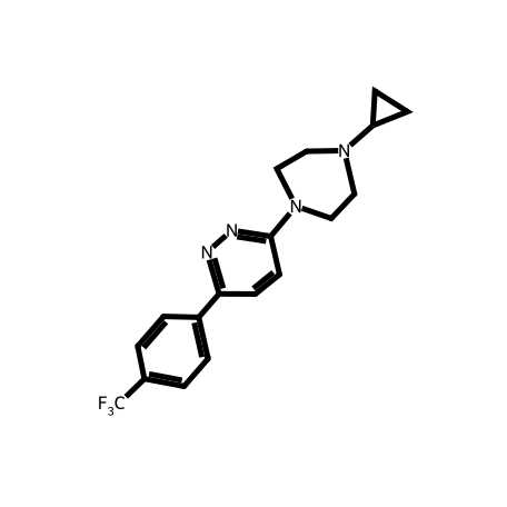 FC(F)(F)c1ccc(-c2ccc(N3CCN(C4CC4)CC3)nn2)cc1